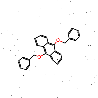 c1ccc(COc2c3ccccc3c(OCc3ccccc3)c3ccccc23)cc1